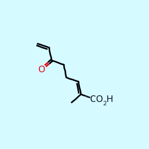 C=CC(=O)CC/C=C(\C)C(=O)O